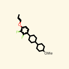 C/C=C/Oc1ccc(C2CCC(C3CCC(OC)CC3)CC2)c(F)c1F